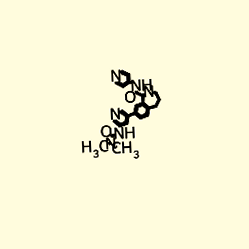 CN(C)C(=O)Nc1cncc(-c2ccc3c(c2)C(C(=O)Nc2ccncc2)=NCCC3)c1